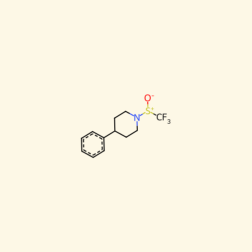 [O-][S+](N1CCC(c2ccccc2)CC1)C(F)(F)F